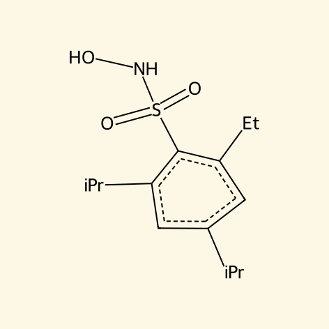 CCc1cc(C(C)C)cc(C(C)C)c1S(=O)(=O)NO